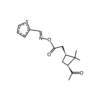 CC(=O)[C@H]1C[C@@H](CC(=O)ON=Cc2cccs2)C1(C)C